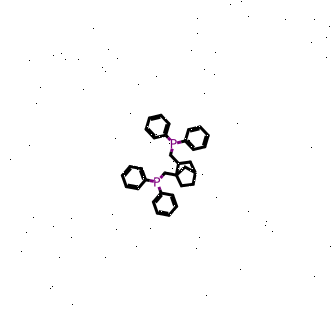 c1ccc(P(CC2CC3CCC2(CP(c2ccccc2)c2ccccc2)C3)c2ccccc2)cc1